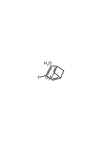 O.O=[N+]([O-])c1c2cc(F)cc1C2